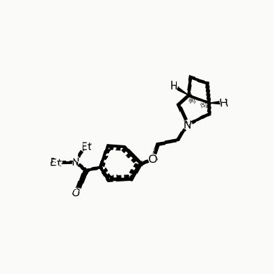 CCN(CC)C(=O)c1ccc(OCCN2C[C@H]3CC[C@H]3C2)cc1